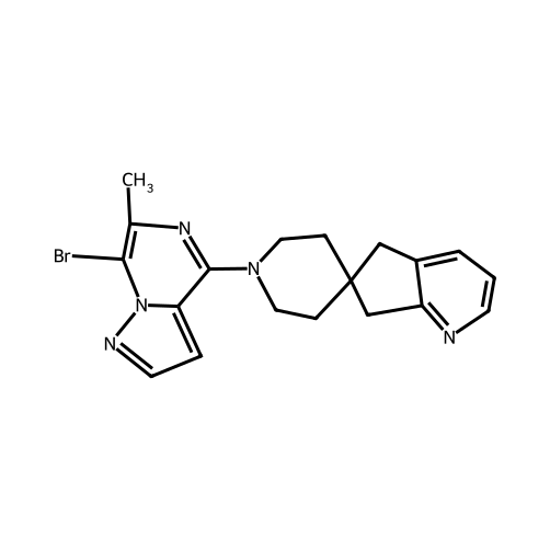 Cc1nc(N2CCC3(CC2)Cc2cccnc2C3)c2ccnn2c1Br